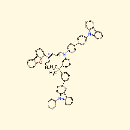 C=C/C(=C\C=C\N(c1ccc(-c2ccc(-n3c4ccccc4c4ccccc43)cc2)cc1)c1ccc2c(c1)C(C)(C)c1cc(-c3ccc4c(c3)c3ccccc3n4-c3ccccc3)ccc1-2)c1cccc2c1oc1ccccc12